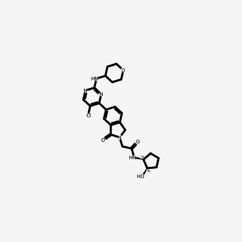 O=C(CN1Cc2ccc(-c3nc(NC4CCOCC4)ncc3Cl)cc2C1=O)N[C@H]1CCC[C@H]1O